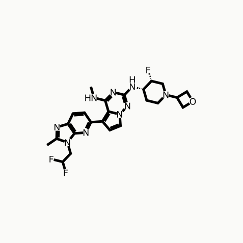 CNc1nc(N[C@H]2CCN(C3COC3)C[C@H]2F)nn2ccc(-c3ccc4nc(C)n(CC(F)F)c4n3)c12